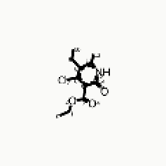 CCOC(=O)c1c(Cl)c(CC)c(C)[nH]c1=O